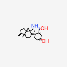 C=C1CC[C@@]23CC2(CN)[C@@H]([C@@]2(C)CC[C@H](O)C[C@@H]2CO)CC[C@]13C